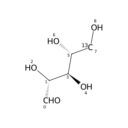 O=C[C@H](O)[C@H](O)[C@H](O)[13CH2]O